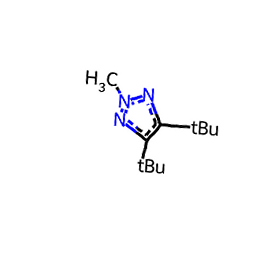 Cn1nc(C(C)(C)C)c(C(C)(C)C)n1